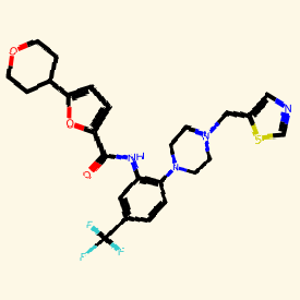 O=C(Nc1cc(C(F)(F)F)ccc1N1CCN(Cc2cncs2)CC1)c1ccc(C2CCOCC2)o1